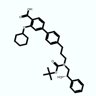 CC(C)(C)OC(=O)N(CCCc1ccc(-c2ccc(C(=O)O)c(OC3CCCCC3)c2)cc1)C[C@@H](O)c1ccccc1